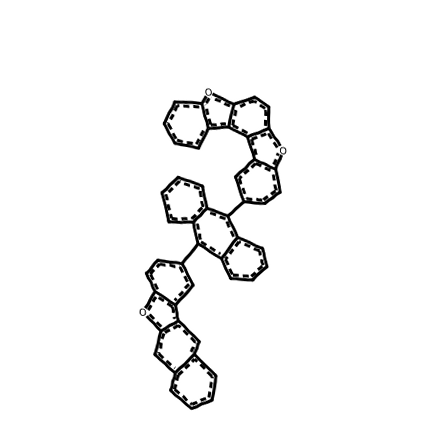 c1ccc2cc3c(cc2c1)oc1ccc(-c2c4ccccc4c(-c4ccc5oc6ccc7oc8ccccc8c7c6c5c4)c4ccccc24)cc13